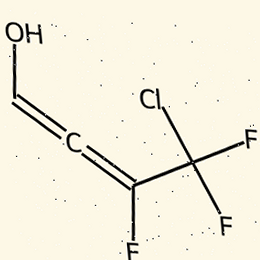 OC=C=C(F)C(F)(F)Cl